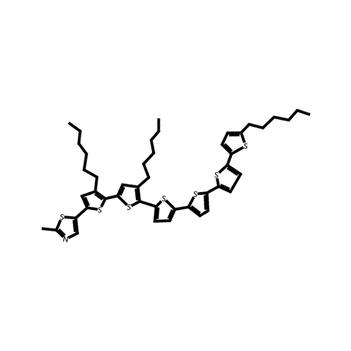 CCCCCCc1ccc(-c2ccc(-c3ccc(-c4ccc(-c5sc(-c6sc(-c7cnc(C)s7)cc6CCCCCC)cc5CCCCCC)s4)s3)s2)s1